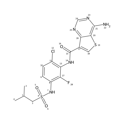 CC(C)CS(=O)(=O)Nc1ccc(Cl)c(NC(=O)c2csc3c(N)ncnc23)c1F